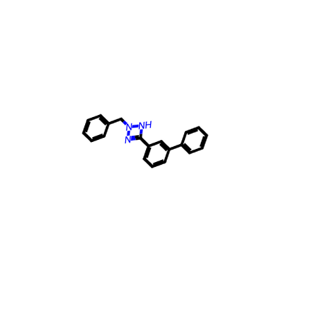 c1ccc(Cn2nc(-c3cccc(-c4ccccc4)c3)[nH]2)cc1